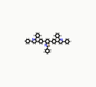 c1ccc(-c2ccc(-c3ccc(-c4ccc(-c5ccc(-c6ccc(-c7ccccc7)nc6-c6ccccc6)cc5)c5sc(-c6ccccc6)nc45)cc3)c(-c3ccccc3)n2)cc1